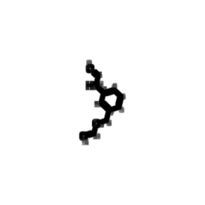 O=CNc1cccc(COC=O)c1